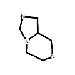 C1CN2C[N]CC2C[N]1